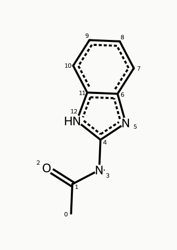 CC(=O)[N]c1nc2ccccc2[nH]1